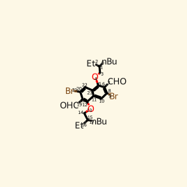 CCCCC(CC)COc1c(C=O)c(Br)cc2c(OCC(CC)CCCC)c(C=O)c(Br)cc12